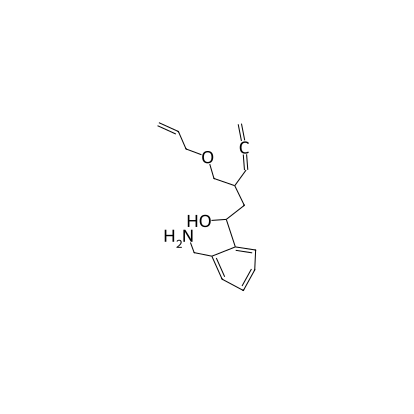 C=C=CC(COCC=C)CC(O)c1ccccc1CN